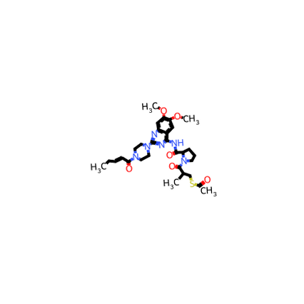 CCC=CC(=O)N1CCN(c2nc(NC(=O)C3CCCN3C(=O)C(C)CSC(C)=O)c3cc(OC)c(OC)cc3n2)CC1